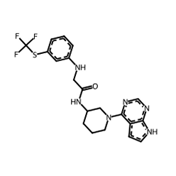 O=C(CNc1cccc(SC(F)(F)F)c1)NC1CCCN(c2ncnc3[nH]ccc23)C1